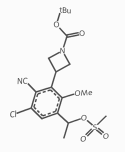 COc1c(C(C)OS(C)(=O)=O)cc(Cl)c(C#N)c1C1CN(C(=O)OC(C)(C)C)C1